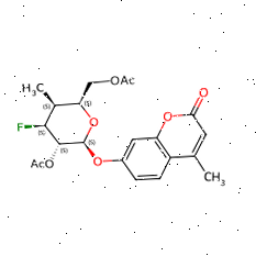 CC(=O)OC[C@H]1O[C@@H](Oc2ccc3c(C)cc(=O)oc3c2)[C@H](OC(C)=O)[C@@H](F)[C@H]1C